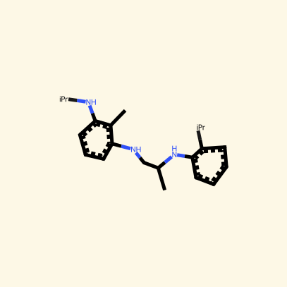 Cc1c(NCC(C)Nc2ccccc2C(C)C)cccc1NC(C)C